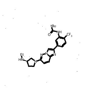 CCN[C@@H]1CCN(c2ccc3nc(-c4ccc(C(F)(F)F)c(NC(=O)C(C)(C)C)c4)cn3n2)C1